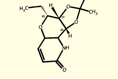 CC[C@H]1OC2C=CC(=O)NC2[C@H]2OC(C)(C)O[C@H]21